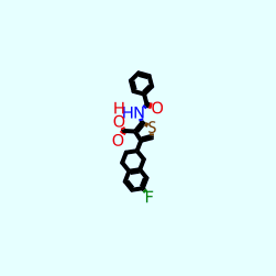 O=C(Nc1scc(C2CCc3ccc(F)cc3C2)c1C(=O)O)c1ccccc1